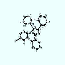 Cc1ccc2c(c1)c1ccccc1c1nc(-c3ccccc3)c(-c3ccccc3)n21